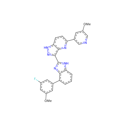 COc1cncc(-c2ccc3[nH]nc(-c4nc5c(-c6cc(F)cc(OC)c6)cccc5[nH]4)c3n2)c1